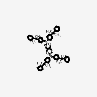 CC(C)(c1ccccc1)c1ccc(N(c2ccc(C(C)(C)c3ccccc3)cc2)P2OCC3(CO2)COP(N(c2ccc(C(C)(C)c4ccccc4)cc2)c2ccc(C(C)(C)c4ccccc4)cc2)OC3)cc1